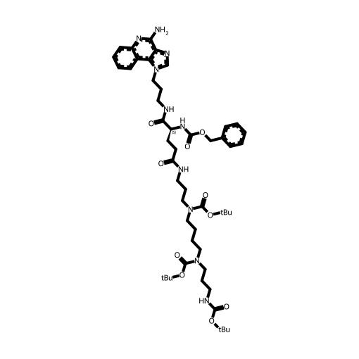 CC(C)(C)OC(=O)NCCCN(CCCCN(CCCNC(=O)CC[C@H](NC(=O)OCc1ccccc1)C(=O)NCCCn1cnc2c(N)nc3ccccc3c21)C(=O)OC(C)(C)C)C(=O)OC(C)(C)C